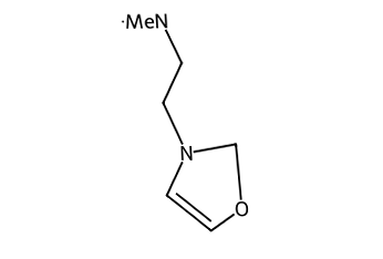 C[N]CCN1C=COC1